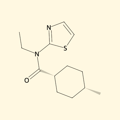 CCN(c1nccs1)C(=O)[C@H]1CC[C@@H](C)CC1